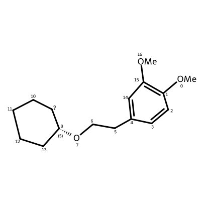 COc1ccc(CCO[C@H]2[CH]CCCC2)cc1OC